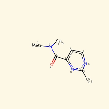 CON(C)C(=O)c1ccnc(C(F)(F)F)n1